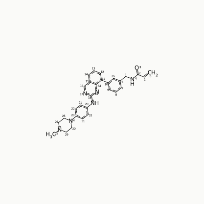 C=CC(=O)NCc1cccc(-c2cccc3cnc(Nc4ccc(N5CCN(C)CC5)cc4)nc23)c1